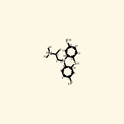 CC(CN1c2ccc(F)cc2Sc2ccc(F)cc21)N(C)C